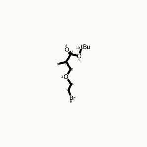 CC(COCCBr)C(=O)OC(C)(C)C